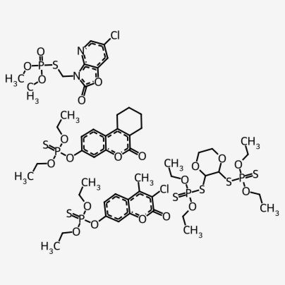 CCOP(=S)(OCC)Oc1ccc2c(C)c(Cl)c(=O)oc2c1.CCOP(=S)(OCC)Oc1ccc2c3c(c(=O)oc2c1)CCCC3.CCOP(=S)(OCC)SC1OCCOC1SP(=S)(OCC)OCC.COP(=O)(OC)SCn1c(=O)oc2cc(Cl)cnc21